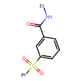 CCNC(=O)c1cccc(S(=O)(=O)C(C)C)c1